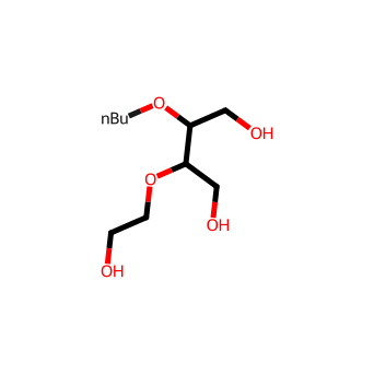 CCCCOC(CO)C(CO)OCCO